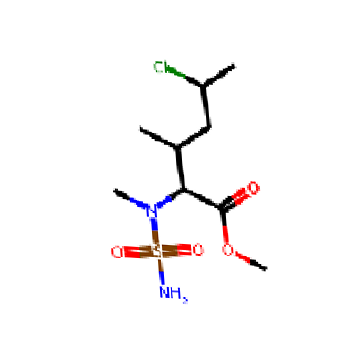 COC(=O)C(C(C)CC(C)Cl)N(C)S(N)(=O)=O